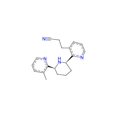 Cc1cccnc1[C@@H]1CCC[C@H](c2ncccc2CCC#N)N1